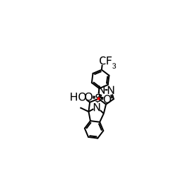 CC12c3ccccc3C(C3C=NN=C3C1O)N2S(=O)(=O)c1ccc(C(F)(F)F)cc1